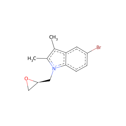 Cc1c(C)n(C[C@H]2CO2)c2ccc(Br)cc12